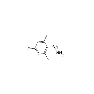 Cc1cc(F)cc(C)c1NN